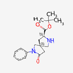 CC(C)(C)OC(=O)[C@@H]1C[C@@]2(CN1)CC(=O)N(c1ccccc1)C2